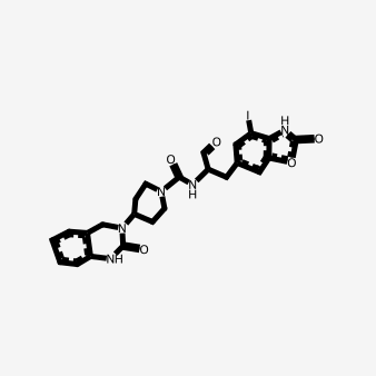 O=CC(Cc1cc(I)c2[nH]c(=O)oc2c1)NC(=O)N1CCC(N2Cc3ccccc3NC2=O)CC1